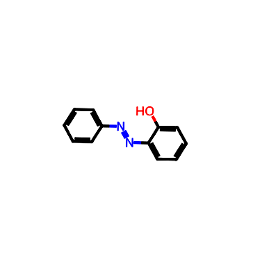 Oc1ccccc1N=Nc1ccccc1